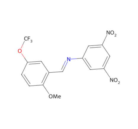 COc1ccc(OC(F)(F)F)cc1C=Nc1cc([N+](=O)[O-])cc([N+](=O)[O-])c1